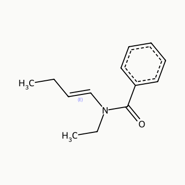 CC/C=C/N(CC)C(=O)c1ccccc1